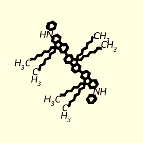 CCCCCCCCC1(CCCCCCCC)c2cc(Nc3ccccc3)ccc2-c2ccc(-c3ccc4c(c3)C(CCCCCCCC)(CCCCCCCC)c3cc(-c5ccc6c(c5)C(CCCCCCCC)(CCCCCCCC)c5cc(Nc7ccccc7)ccc5-6)ccc3-4)cc21